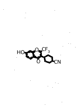 N#CC1CCC(c2c(C(F)(F)F)oc3cc(O)ccc3c2=O)CC1